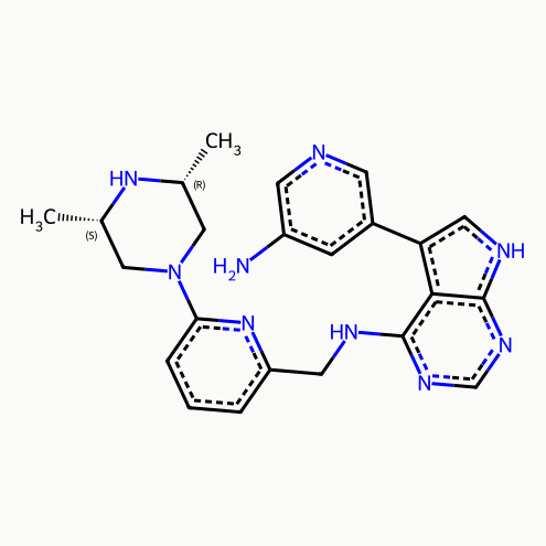 C[C@@H]1CN(c2cccc(CNc3ncnc4[nH]cc(-c5cncc(N)c5)c34)n2)C[C@H](C)N1